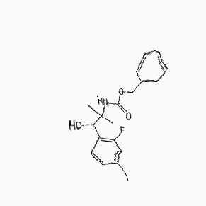 Cc1ccc(C(O)C(C)(C)NC(=O)OCc2ccccc2)c(F)c1